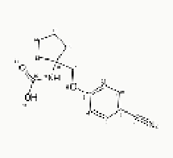 N#Cc1ccc(OCC2(NC(=O)O)CCCC2)cc1